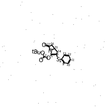 CC(C)(C)OC(=O)OC1=C(Sc2ccccc2)CC2CC(=O)N12